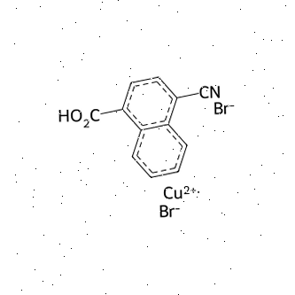 N#Cc1ccc(C(=O)O)c2ccccc12.[Br-].[Br-].[Cu+2]